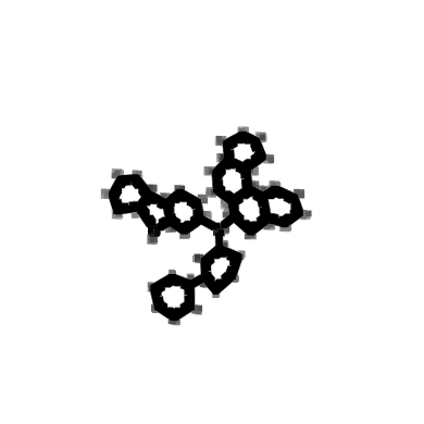 c1ccc(-c2cccc(N(c3ccc4c(c3)oc3ccccc34)c3cc4ccccc4c4c3ccc3ccccc34)c2)cc1